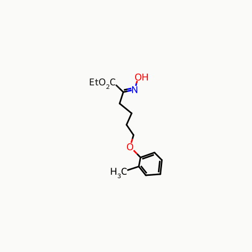 CCOC(=O)C(CCCCOc1ccccc1C)=NO